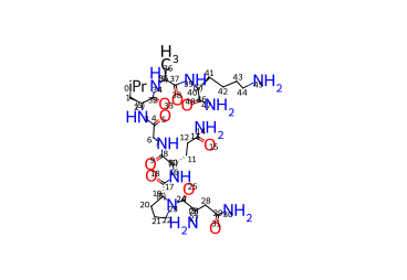 CC(C)C[C@H](NC(=O)CNC(=O)[C@H](CCC(N)=O)NC(=O)[C@H]1CCCN1C(=O)[C@@H](N)CC(N)=O)C(=O)N[C@@H](C)C(=O)N[C@@H](CCCCN)C(N)=O